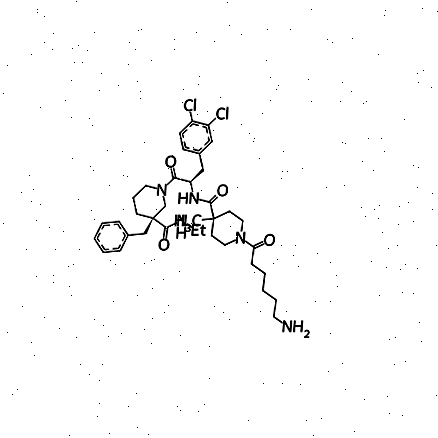 CCNC(=O)[C@]1(Cc2ccccc2)CCCN(C(=O)[C@@H](Cc2ccc(Cl)c(Cl)c2)NC(=O)C2(C)CCN(C(=O)CCCCCN)CC2)C1